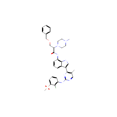 Cc1cnc(Nc2cccc(S(C)(=O)=O)c2F)nc1-c1c[nH]c2c(NC(=O)C(COCc3ccccc3)N3CCN(C)CC3)cccc12